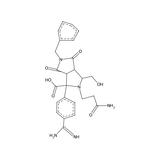 N=C(N)c1ccc(C2(C(=O)O)C3C(=O)N(Cc4ccccc4)C(=O)C3C(CO)N2CCC(N)=O)cc1